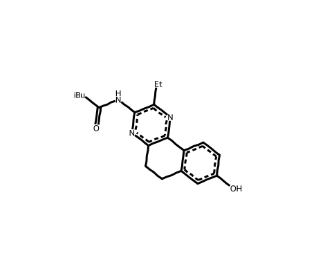 CCc1nc2c(nc1NC(=O)C(C)CC)CCc1cc(O)ccc1-2